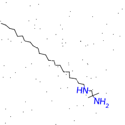 CCCCCCCCCCCCCCCCCCCCCCNCC(C)(C)N